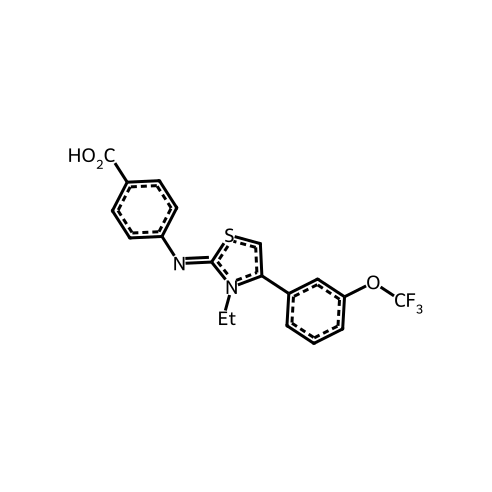 CCn1c(-c2cccc(OC(F)(F)F)c2)csc1=Nc1ccc(C(=O)O)cc1